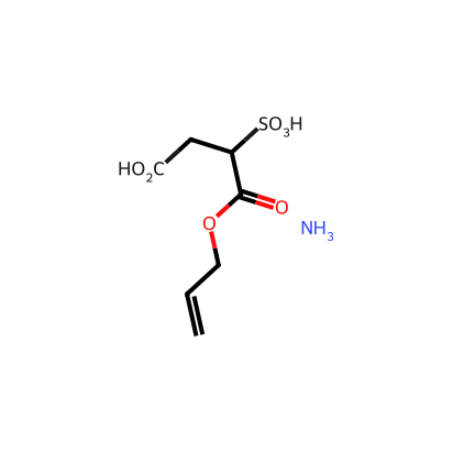 C=CCOC(=O)C(CC(=O)O)S(=O)(=O)O.N